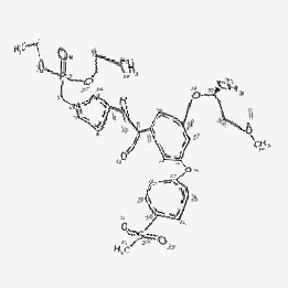 CCOP(=O)(Cn1ccc(NC(=O)c2cc(Oc3ccc(S(C)(=O)=O)cc3)cc(O[C@@H](C)COC)c2)n1)OCC